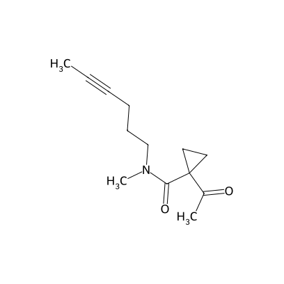 CC#CCCCN(C)C(=O)C1(C(C)=O)CC1